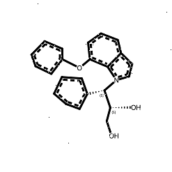 OC[C@@H](O)[C@H](c1ccccc1)n1ccc2cccc(Oc3ccccc3)c21